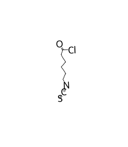 O=C(Cl)CCCCCN=C=S